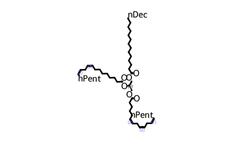 CCCCC/C=C\C/C=C\C/C=C\CCCCC(=O)OC[C@H](COC(=O)CCCCCCCCCCCCCCCCCCCCCCC)OC(=O)CCCCCCC/C=C\C/C=C\CCCCC